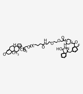 C[C@]12CCC3[C@@H](CCC4=CC(=O)CC[C@@]43C)[C@@H]1CC[C@@H]2C(=O)COCCCCCC(=O)NCCOCCOCC(=O)N1CCN(C(=O)c2cc(CC3=NNC(O)c4ccccc43)ccc2F)CC1